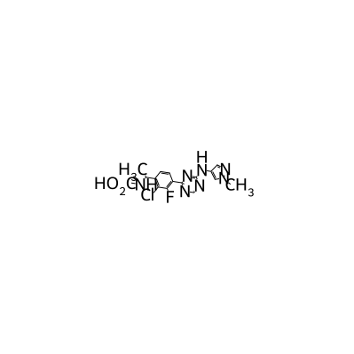 CC(NC(=O)O)c1ccc(-c2ncnc(Nc3cnn(C)c3)n2)c(F)c1Cl